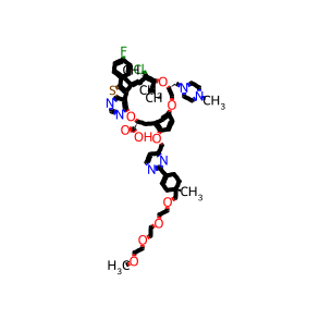 C#C/C1=C(Cl)\C(C)=C(/CC)c2c(-c3ccc(F)cc3)sc3ncnc(c23)O[C@@H](C(=O)O)Cc2cc(ccc2OCc2ccnc(C3=CC[C@@](C)(COCCOCCOCCOC)CC3)n2)OC[C@@H](CN2CCN(C)CC2)O1